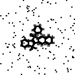 CC1(C)C2=C(c3ccccc31)P(=O)(c1ccccc1)c1cc3ccccc3cc12